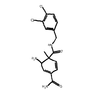 CC1(C(=O)NCc2ccc(Cl)c(Cl)c2)C=CC(C(N)=O)=CC1N